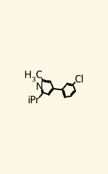 Cc1cc(-c2cccc(Cl)c2)cc(C(C)C)n1